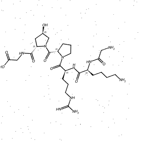 N=C(N)NCCC[C@H](NC(=O)[C@H](CCCCN)NC(=O)CN)C(=O)N1CCC[C@H]1C(=O)N1C[C@H](O)C[C@H]1C(=O)NCC(=O)O